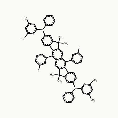 Cc1cc(C)cc(N(c2ccccc2)c2ccc3c(c2)C(C)(C)c2cc4c(-c5cccc(F)c5)c5c(cc4c(-c4cccc(F)c4)c2-3)C(C)(C)c2cc(N(c3ccccc3)c3cc(C)cc(C)c3)ccc2-5)c1